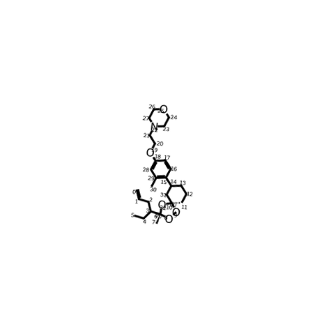 C=CCC(CC)[C@@]1(C)OO[C@@]2(CCCC(c3ccc(OCCN4CCOCC4)cc3C)C2)O1